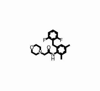 Cc1cc(C)c(NC(=O)CN2CCOCC2)c(Cc2c(F)cccc2F)c1